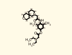 CCN(CC)CC(=O)Oc1cc(C)c(NC(=O)CN2CCCC3(CCOCC3)C2)c(C)c1